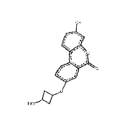 O=c1oc2cc(O)ccc2c2ccc(OC3CC(O)C3)cc12